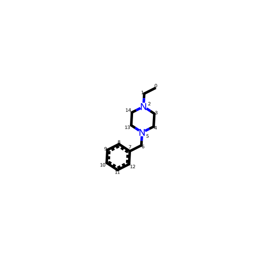 CCN1CCN(Cc2ccccc2)CC1